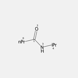 CCCC(=O)NC(C)C